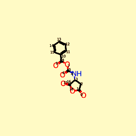 O=C1C[C@H](NC(=O)OC(=O)c2ccccc2)C(=O)O1